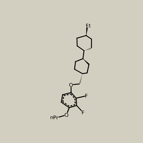 CCCOc1ccc(OC[C@H]2CC[C@H]([C@H]3CC[C@H](CC)CC3)CC2)c(F)c1F